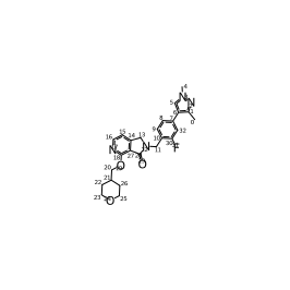 Cc1nn(C)cc1-c1ccc(CN2Cc3ccnc(OCC4CCOCC4)c3C2=O)c(F)c1